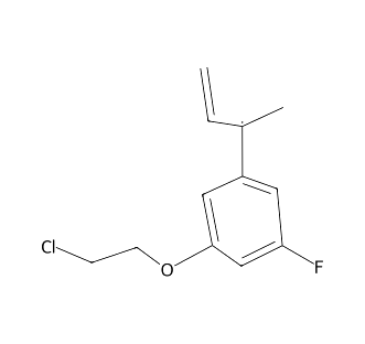 C=C[C](C)c1cc(F)cc(OCCCl)c1